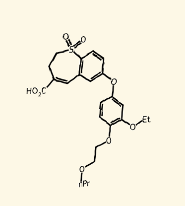 CCCOCCOc1ccc(Oc2ccc3c(c2)C=C(C(=O)O)CCS3(=O)=O)cc1OCC